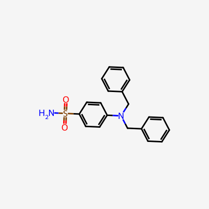 NS(=O)(=O)c1ccc(N(Cc2ccccc2)Cc2ccccc2)cc1